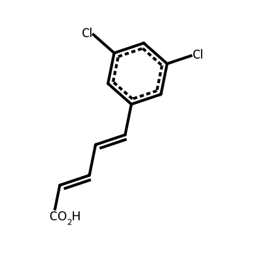 O=C(O)/C=C/C=C/c1cc(Cl)cc(Cl)c1